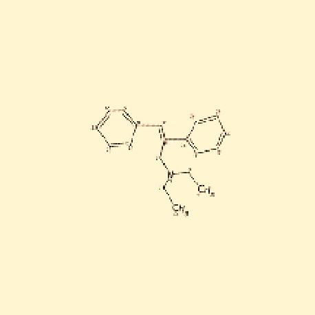 CCN(CC)CC(=Cc1ccccc1)c1ccccc1